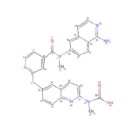 CN(C(=O)c1ccnc(Cc2ccc3nc(N(C)C(=O)O)ccc3c2)c1)c1ccc2c(N)nccc2c1